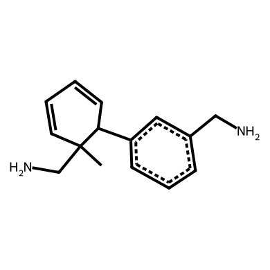 CC1(CN)C=CC=CC1c1cccc(CN)c1